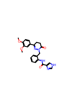 COc1ccc(C2=NN(Cc3ccccc3NC(=O)c3c[nH]cn3)C(=O)CC2)cc1OC